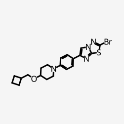 Brc1nn2cc(-c3ccc(N4CCC(OCC5CCC5)CC4)cc3)nc2s1